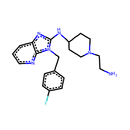 NCCN1CCC(Nc2nc3cccnc3n2Cc2ccc(F)cc2)CC1